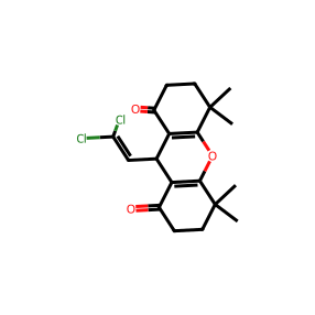 CC1(C)CCC(=O)C2=C1OC1=C(C(=O)CCC1(C)C)C2C=C(Cl)Cl